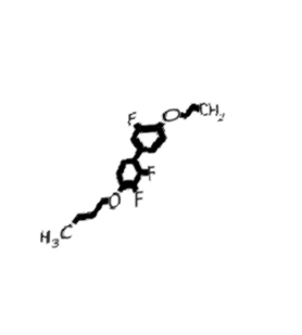 C=CCOc1ccc(-c2ccc(OCCCC)c(F)c2F)cc1F